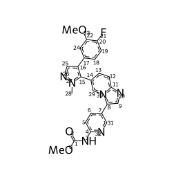 COC(=O)Nc1ccc(-c2cnc3ccc(-c4c(-c5ccc(F)c(OC)c5)cnn4C)cn23)cn1